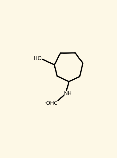 O=[C]NC1CCCCC(O)C1